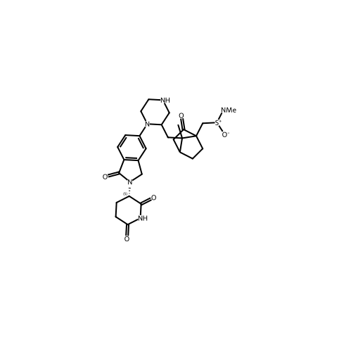 CN[S+]([O-])CC12CCC(CC1=O)C2(C)CC1CNCCN1c1ccc2c(c1)CN([C@H]1CCC(=O)NC1=O)C2=O